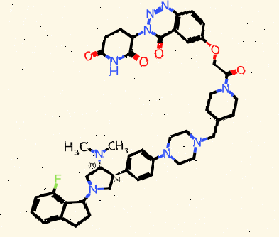 CN(C)[C@H]1CN(C2CCc3cccc(F)c32)C[C@@H]1c1ccc(N2CCN(CC3CCN(C(=O)COc4ccc5nnn(C6CCC(=O)NC6=O)c(=O)c5c4)CC3)CC2)cc1